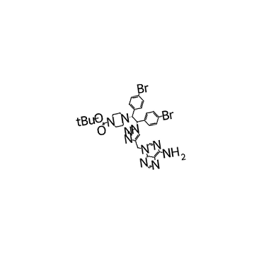 CC(C)(C)OC(=O)N1CCN([C@H](c2ccc(Br)cc2)[C@H](c2ccc(Br)cc2)n2cc(Cn3cnc(N)c4ncnc3-4)nn2)CC1